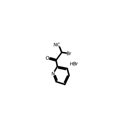 Br.N#CC(Br)C(=O)c1ccccn1